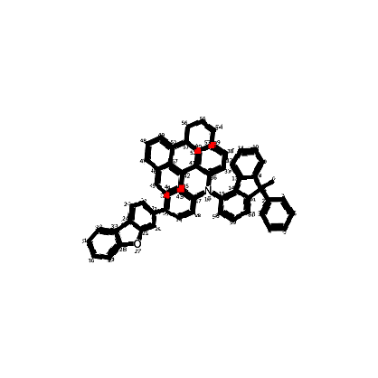 CC1(c2ccccc2)c2ccccc2-c2c(N(c3ccc(-c4ccc5c(c4)oc4ccccc45)cc3)c3ccccc3-c3cccc4cccc(C5CCCCC5)c34)cccc21